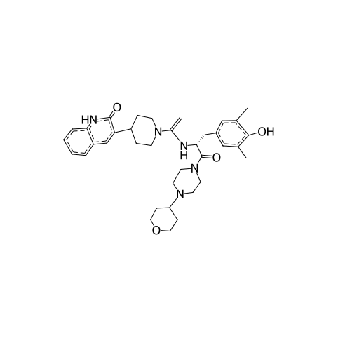 C=C(N[C@H](Cc1cc(C)c(O)c(C)c1)C(=O)N1CCN(C2CCOCC2)CC1)N1CCC(c2cc3ccccc3[nH]c2=O)CC1